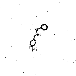 CNC1(F)CCC(CN[C@@H]2C[C@H]2c2ccccc2)CC1